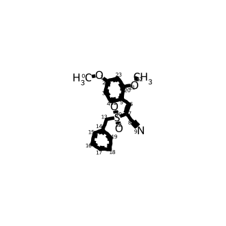 COc1ccc(C=C(C#N)S(=O)(=O)Cc2ccccc2)c(OC)c1